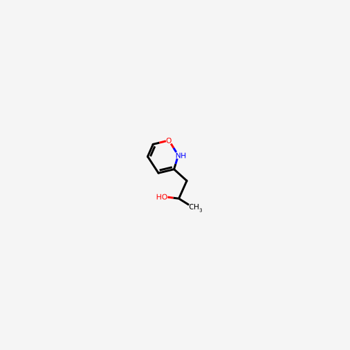 CC(O)CC1=CC=CON1